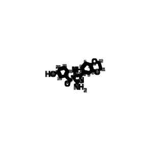 NC1=NC(c2ccc3c(c2)OCCO3)N(N)N1C(=O)c1cccc(O)c1